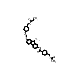 C=CC(=O)OCC1CCC(OCOc2ccc3c(c2)C(C)c2cc(OC(=O)C4CCC(COC(C)=O)CC4)ccc2-3)CC1